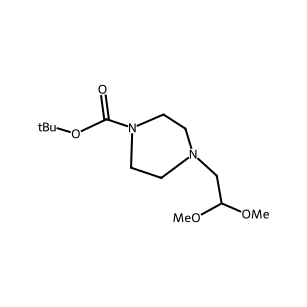 COC(CN1CCN(C(=O)OC(C)(C)C)CC1)OC